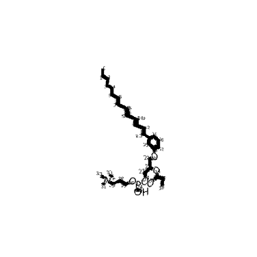 CCCCCCCCCCCCCCc1cccc(OCC(COP(O)OCCC[N+](C)(C)C)OC(=O)CC)c1